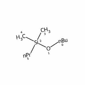 CCCCO[Si](C)(C)CCC